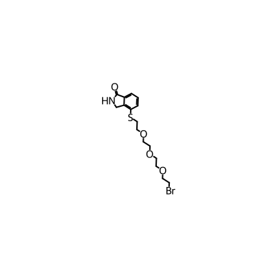 O=C1NCc2c(SCCOCCOCCOCCBr)cccc21